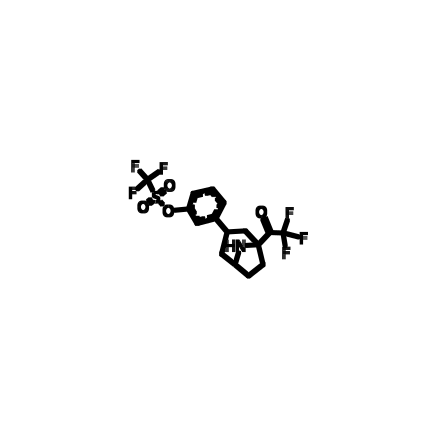 O=C(C(F)(F)F)C12CCC(CC(c3cccc(OS(=O)(=O)C(F)(F)F)c3)C1)N2